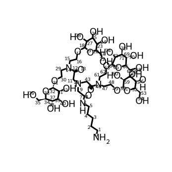 NCCCCCNC(=O)CN(CC(=O)N(CCOC1OC(CO)C(O)C(O)C1O)CCO[C@H]1O[C@H](CO)[C@@H](O)[C@H](O)[C@@H]1O)CC(=O)N(CCO[C@H]1O[C@H](CO)[C@@H](O)[C@H](O)[C@@H]1O)CCO[C@H]1O[C@H](CO)[C@@H](O)[C@H](O)[C@@H]1O